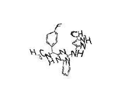 CNC(c1ccc(F)cc1)c1nc(Nc2cc(C)[nH]n2)n2cccc2n1